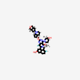 C#Cc1c(F)ccc2cc(O)cc(-c3nc(OC)c4c(N5CCC[C@@](C)(O)C5)nc(OC[C@]56CCC[C@H]5N(C5C[C@H]7COC[C@H]7C5)CCC6)nc4c3F)c12